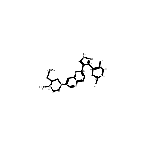 COCC1CN(c2cnc3ccc(-c4c[nH]nc4-c4cc(Cl)ccc4F)nc3c2)CCN1C